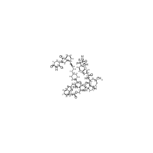 CN1CC[C@H]2CC[C@@H](C(=O)N[C@@H](COC(N)=O)C(=O)N[C@@H](Cc3nc4ccccc4s3)C(=O)N3CCC(CCC#Cc4cccc5c4CN(C4CCC(=O)NC4=O)C5=O)CC3)N2C(=O)[C@@H](NC(=O)c2cc3cc(C(F)(F)P(=O)(O)O)ccc3s2)C1